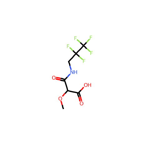 COC(C(=O)O)C(=O)NCC(F)(F)C(F)(F)F